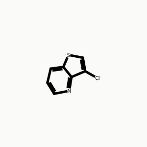 Clc1csc2cccnc12